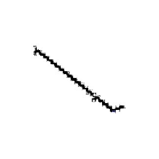 CCCC/C=C\CCCCCCCC(=O)OCCCCCCCCCCCCCCCCCCCCCCCCCCCCC(C)C